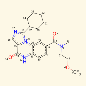 CN(CCOC(F)(F)F)C(=O)c1ccc2[nH]c(=O)c3cnc(C4CCCCC4)n3c2c1